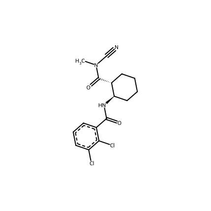 CN(C#N)C(=O)[C@@H]1CCCC[C@H]1NC(=O)c1cccc(Cl)c1Cl